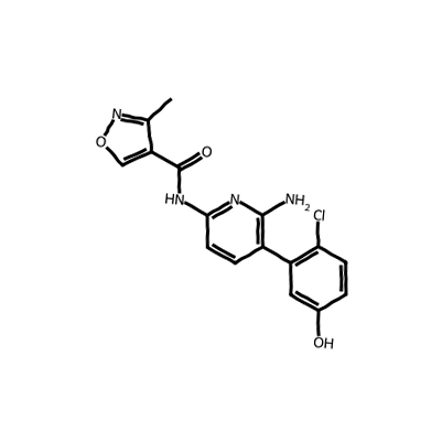 Cc1nocc1C(=O)Nc1ccc(-c2cc(O)ccc2Cl)c(N)n1